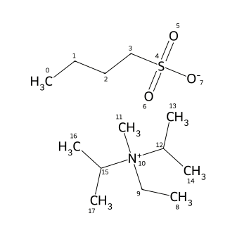 CCCCS(=O)(=O)[O-].CC[N+](C)(C(C)C)C(C)C